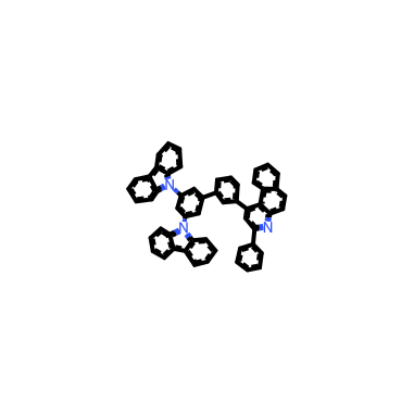 c1ccc(-c2cc(-c3cccc(-c4cc(-n5c6ccccc6c6ccccc65)cc(-n5c6ccccc6c6ccccc65)c4)c3)c3c(ccc4ccccc43)n2)cc1